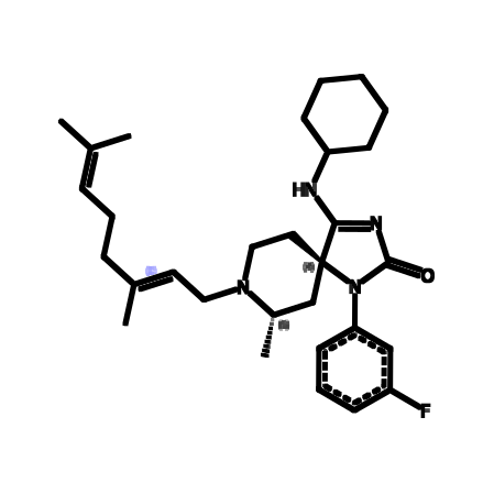 CC(C)=CCC/C(C)=C/CN1CC[C@@]2(C[C@@H]1C)C(NC1CCCCC1)=NC(=O)N2c1cccc(F)c1